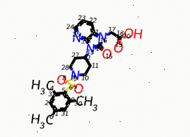 Cc1cc(C)c(S(=O)(=O)N2CCC(n3c(=O)n(CC(=O)O)c4cccnc43)CC2)c(C)c1